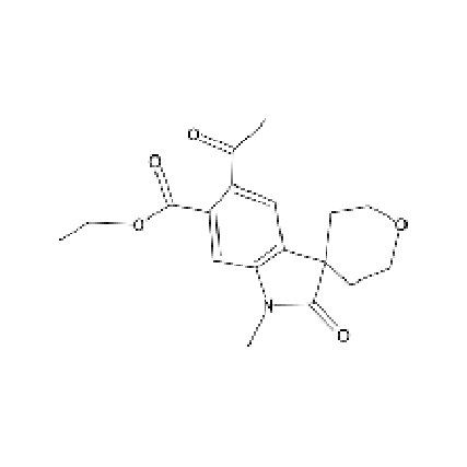 CCOC(=O)c1cc2c(cc1C(C)=O)C1(CCOCC1)C(=O)N2C